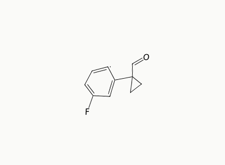 O=CC1(c2[c]ccc(F)c2)CC1